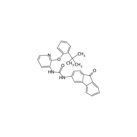 CC(C)(C)c1ccccc1Oc1ncccc1NC(=O)Nc1ccc2c(c1)-c1ccccc1C2=O